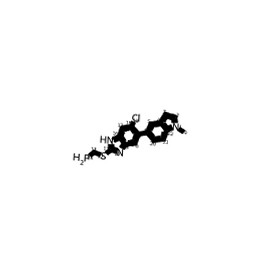 Cn1ccc2cc(-c3cc4nc(SCP)[nH]c4cc3Cl)ccc21